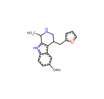 COc1ccc2[nH]c3c(c2c1)C(Cc1ccco1)CNC3C(=O)O